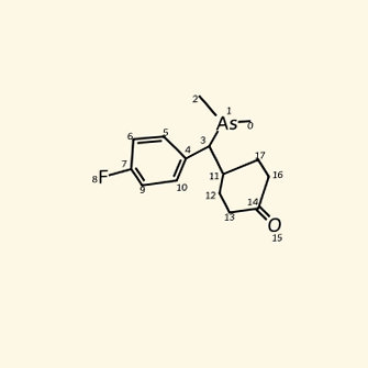 C[As](C)C(c1ccc(F)cc1)C1CCC(=O)CC1